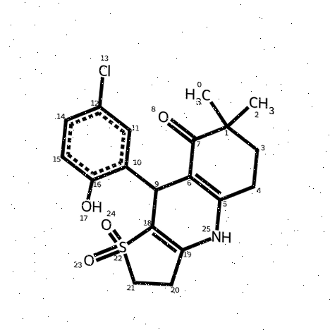 CC1(C)CCC2=C(C1=O)C(c1cc(Cl)ccc1O)C1=C(CCS1(=O)=O)N2